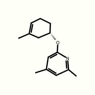 CC1=CCC[C@H](Oc2cc(C)cc(C)n2)C1